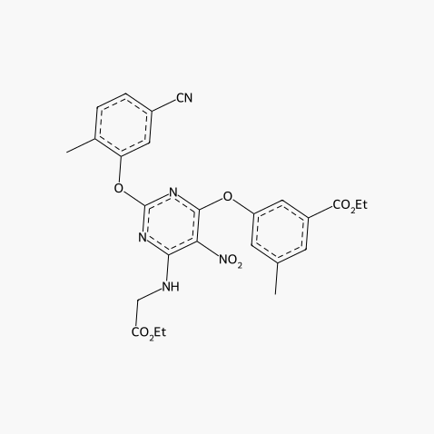 CCOC(=O)CNc1nc(Oc2cc(C#N)ccc2C)nc(Oc2cc(C)cc(C(=O)OCC)c2)c1[N+](=O)[O-]